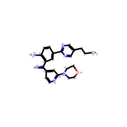 CCCc1cnc(-c2ccc(N)c(C(=N)c3ccnc(N4CCOCC4)c3)c2)nc1